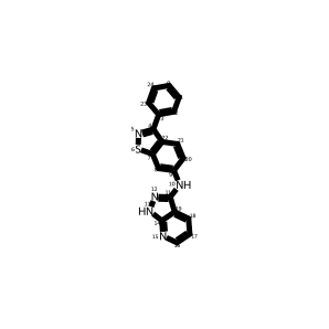 c1ccc(-c2nsc3cc(Nc4n[nH]c5ncccc45)ccc23)cc1